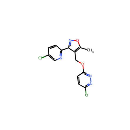 Cc1onc(-c2ccc(Cl)cn2)c1COc1ccc(Cl)nn1